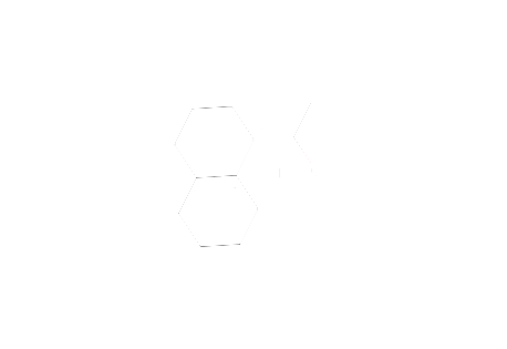 CC(O)[C@H]1CCCC2CCCC[C@@H]21